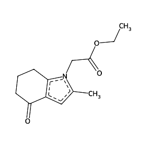 CCOC(=O)Cn1c(C)cc2c1CCCC2=O